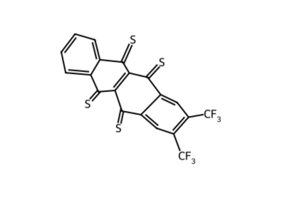 FC(F)(F)c1cc2c(=S)c3c(=S)c4ccccc4c(=S)c=3c(=S)c2cc1C(F)(F)F